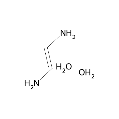 NC=CN.O.O